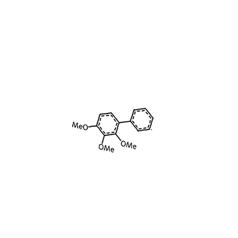 COc1ccc(-c2c[c]ccc2)c(OC)c1OC